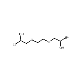 CCC(O)COCCOCC(O)C(C)C